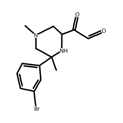 CN1CC(C(=O)C=O)NC(C)(c2cccc(Br)c2)C1